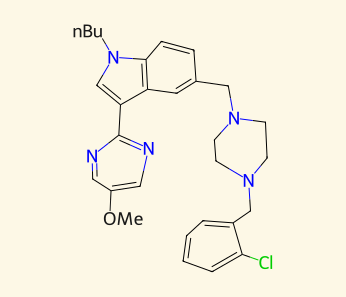 CCCCn1cc(-c2ncc(OC)cn2)c2cc(CN3CCN(Cc4ccccc4Cl)CC3)ccc21